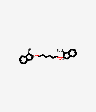 CC(C)(C)C1c2ccccc2C[C@H]1OCCCCCCO[C@@H]1Cc2ccccc2C1C(C)(C)C